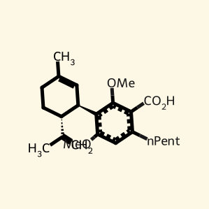 C=C(C)[C@@H]1CCC(C)=C[C@H]1c1c(OC)cc(CCCCC)c(C(=O)O)c1OC